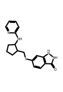 O=c1[nH][nH]c2cc(SCC3CCCC3Nc3ccccn3)ccc12